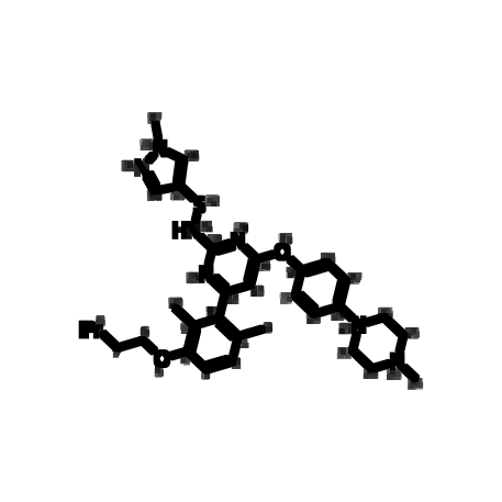 Cc1ccc(OCCC(C)C)c(C)c1-c1cc(Oc2ccc(N3CCN(C)CC3)cc2)nc(NSc2cnn(C)c2)n1